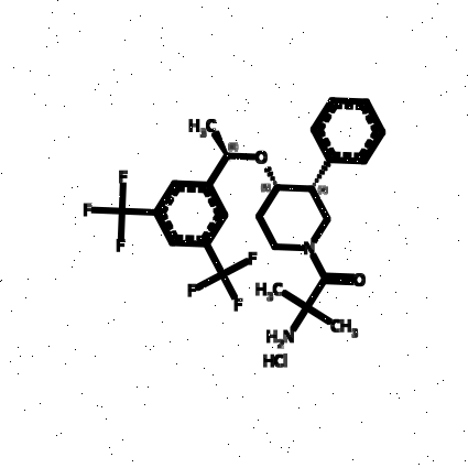 C[C@@H](O[C@H]1CCN(C(=O)C(C)(C)N)C[C@H]1c1ccccc1)c1cc(C(F)(F)F)cc(C(F)(F)F)c1.Cl